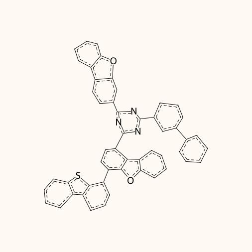 c1ccc(-c2cccc(-c3nc(-c4ccc5c(c4)oc4ccccc45)nc(-c4ccc(-c5cccc6c5sc5ccccc56)c5oc6ccccc6c45)n3)c2)cc1